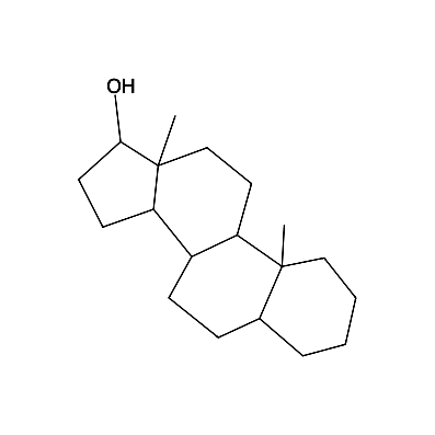 CC12CCC3C(CCC4CCCCC43C)C1CCC2O